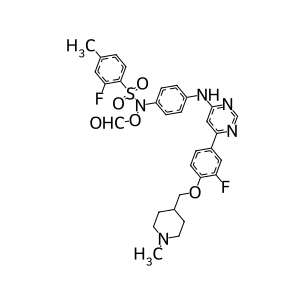 Cc1ccc(S(=O)(=O)N(OC=O)c2ccc(Nc3cc(-c4ccc(OCC5CCN(C)CC5)c(F)c4)ncn3)cc2)c(F)c1